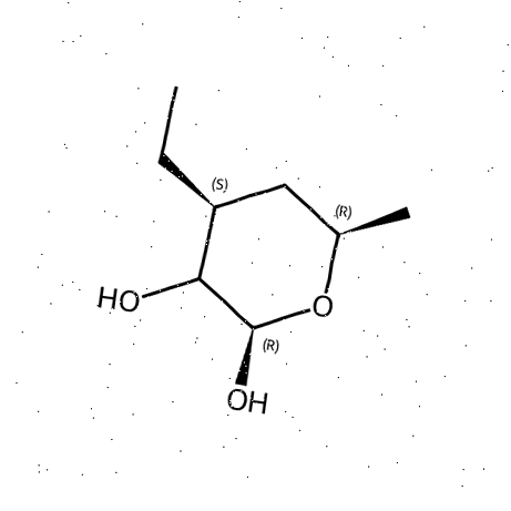 CC[C@H]1C[C@@H](C)O[C@@H](O)C1O